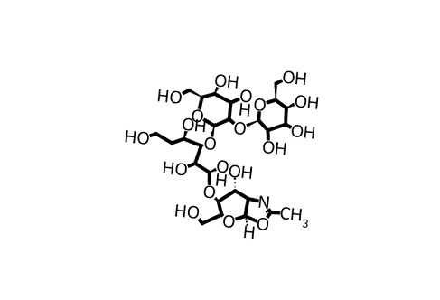 CC1=NC2[C@@H](O1)OC(CO)[C@@H](O[C@H](O)C(O)[C@@H](O[C@H]1O[C@@H](CO)[C@@H](O)C(O)C1O[C@H]1O[C@@H](CO)[C@@H](O)C(O)C1O)[C@H](O)CCO)[C@@H]2O